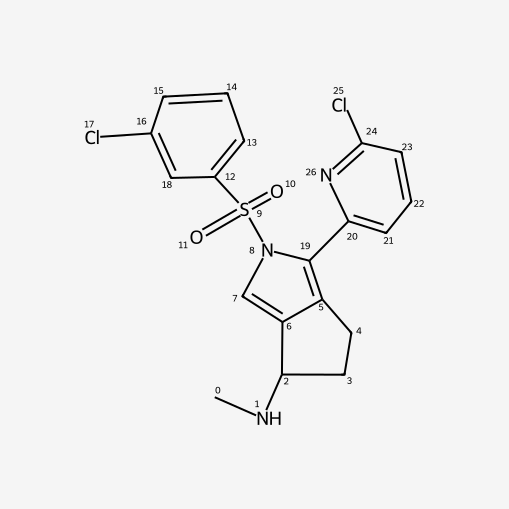 CNC1CCc2c1cn(S(=O)(=O)c1cccc(Cl)c1)c2-c1cccc(Cl)n1